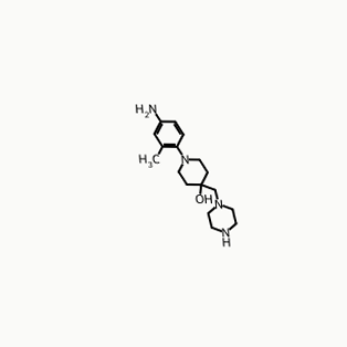 Cc1cc(N)ccc1N1CCC(O)(CN2CCNCC2)CC1